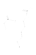 CCC(=O)O.CCC(=O)OCCCCCC(C)C